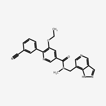 CCOc1cc(C(=O)N(C)Cc2cncc3cn[nH]c23)cnc1-c1cccc(C#N)c1